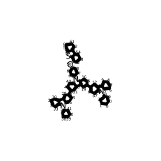 c1ccc(-n2c3ccccc3c3cc(-c4ccc5c(c4)c4cc(-c6ccc7c(c6)c6ccccc6n7-c6ccccc6)ccc4n5-c4ccc(Oc5cccc6c5sc5ccccc56)cc4)ccc32)cc1